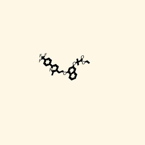 CCOC(=O)C(C)(C)Oc1cc(OCCc2ccc(-c3ccc(C(F)(F)F)cc3)nc2C)c2ccccc2c1